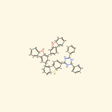 c1ccc(-c2nc(-c3ccccc3)nc(-c3ccc4c(c3)sc3cccc(-c5cc(-c6ccc7c(c6)oc6ccccc67)c6oc7ccccc7c6c5)c34)n2)cc1